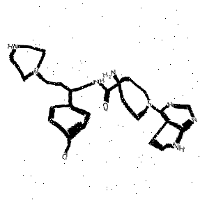 NC1(C(=O)NC(CCN2CCNCC2)c2ccc(Cl)cc2)CCN(c2ncnc3[nH]ccc23)CC1